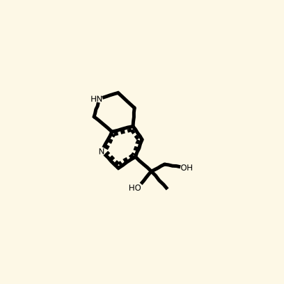 CC(O)(CO)c1cnc2c(c1)CCNC2